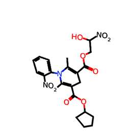 CC1=C(C(=O)OCC(O)[N+](=O)[O-])CC(C(=O)OC2CCCC2)=C(C)N1c1ccccc1[N+](=O)[O-]